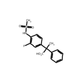 CC(C(=O)O)(c1ccccc1)c1ccc(NS(C)(=O)=O)c(F)c1